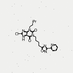 CC(C)CCn1c(=O)n(CCCCc2nc(-c3ccccn3)no2)c(=O)c2[nH]c(Cl)nc21